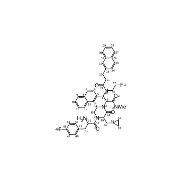 CNC(=O)C(C(c1ccc2ccccc2c1)N(CCF)C(=O)CCc1ccc2ccccc2c1)N1CCN(C(=O)C(N)Cc2ccc(F)cc2)C(CC2CC2)C1=O